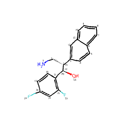 NC[C@H](c1ccc2ccccc2c1)[C@@H](O)c1ccc(F)cc1F